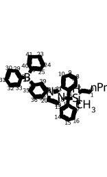 CCCC=C[SiH](C)C(c1ccccc1)(c1ccccc1)n1ccnc1.c1ccc(B(c2ccccc2)c2ccccc2)cc1